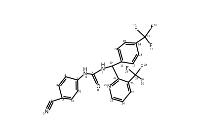 N#Cc1ccc(NC(=O)NC(c2ccc(C(F)(F)F)cc2)c2ncccc2C(F)(F)F)cc1